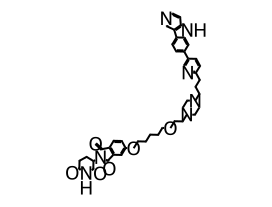 O=C1CCC(N2C(=O)c3ccc(OCCCCCOCCN4CCN(CCCc5ccc(-c6ccc7c(c6)[nH]c6ccncc67)cn5)CC4)cc3C2=O)C(=O)N1